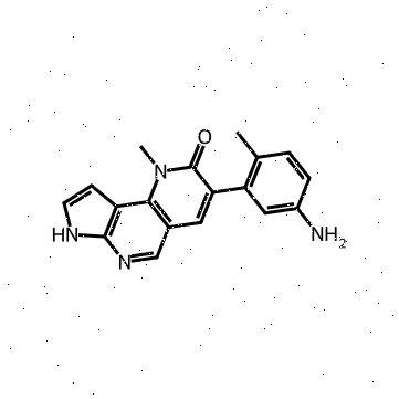 Cc1ccc(N)cc1-c1cc2cnc3[nH]ccc3c2n(C)c1=O